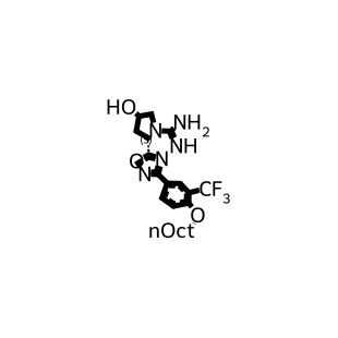 CCCCCCCCOc1ccc(-c2noc([C@@H]3CC(O)CN3C(=N)N)n2)cc1C(F)(F)F